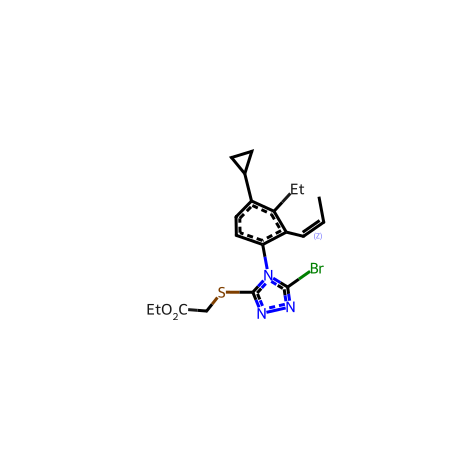 C/C=C\c1c(-n2c(Br)nnc2SCC(=O)OCC)ccc(C2CC2)c1CC